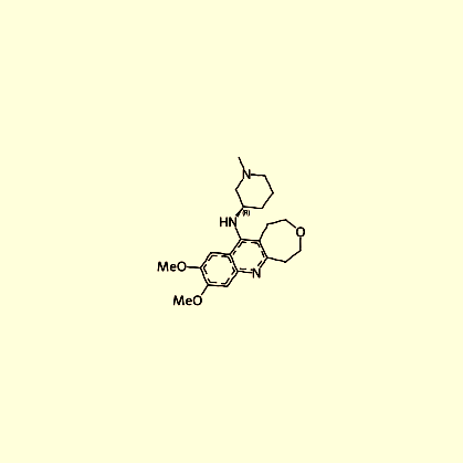 COc1cc2nc3c(c(N[C@@H]4CCCN(C)C4)c2cc1OC)CCOCC3